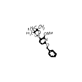 COc1nc(OCc2ccccc2)ccc1B1OC(C)(C)C(C)(C)O1